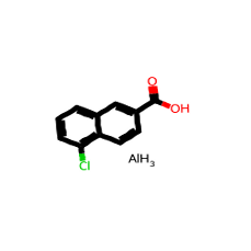 O=C(O)c1ccc2c(Cl)cccc2c1.[AlH3]